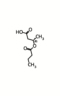 CCCC(=O)O[C@H](C)CC(=O)O